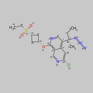 CC[C@@](C)(N=[N+]=[N-])c1cnc(O[C@H]2C[C@@H](S(=O)(=O)CC)C2)c2cnc(Cl)cc12